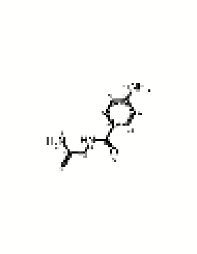 C=C(N)CNC(=O)c1ccc(N)cc1